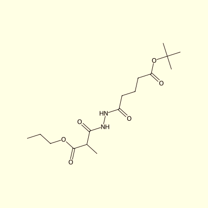 CCCOC(=O)C(C)C(=O)NNC(=O)CCCC(=O)OC(C)(C)C